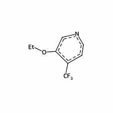 CCOc1cnccc1C(F)(F)F